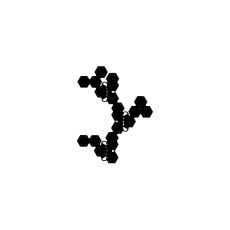 O=P12c3ccc(-c4ccc5c6c(ccc5c4)P4(=O)c5ccc(-c7ccc8c9c(ccc8c7)P7(=O)c8ccccc8Oc8ccc(-c%10cccc(-c%11ccccc%11)c%10)c(c87)O9)cc5Oc5ccc(-c7ccc8c9ccccc9c9ccccc9c8c7)c(c54)O6)cc3Oc3ccc(-c4cc(-c5ccccc5)cc(-c5ccccc5)c4)c(c31)Oc1c2ccc2ccccc12